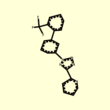 FC(F)(F)c1ccccc1-c1cccc(-n2nnc(-c3ccccn3)n2)c1